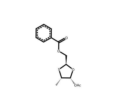 CC(=O)O[C@H]1O[C@H](COC(=O)c2ccccc2)S[C@H]1C